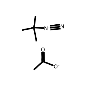 CC(=O)[O-].CC(C)(C)[N+]#N